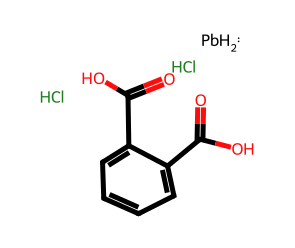 Cl.Cl.O=C(O)c1ccccc1C(=O)O.[PbH2]